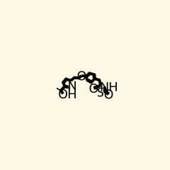 C[C@H](O)c1ccc(CCOc2ccc(CC3NC(=O)SC3=O)cc2)nc1